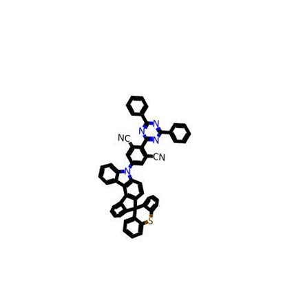 N#Cc1cc(-n2c3ccccc3c3c4c(ccc32)C2(c3ccccc3Sc3ccccc32)c2ccccc2-4)cc(C#N)c1-c1nc(-c2ccccc2)nc(-c2ccccc2)n1